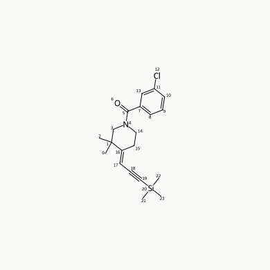 CC1(C)CN(C(=O)c2cccc(Cl)c2)CC/C1=C\C#C[Si](C)(C)C